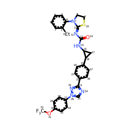 CCc1ccccc1N1CCS/C1=N\C(=O)NC1CC1c1ccc(-c2ncn(-c3ccc(OC(F)(F)F)cc3)n2)cc1